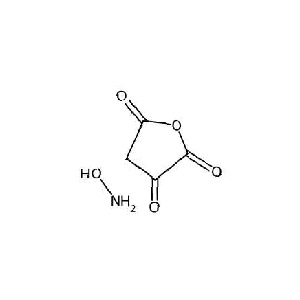 NO.O=C1CC(=O)C(=O)O1